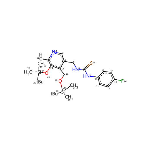 Cc1ncc(CNC(=S)Nc2ccc(F)cc2)c(CO[Si](C)(C)C(C)(C)C)c1O[Si](C)(C)C(C)(C)C